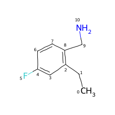 CCc1cc(F)ccc1CN